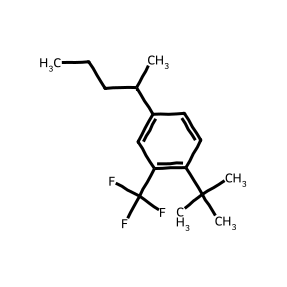 CCC[C](C)c1ccc(C(C)(C)C)c(C(F)(F)F)c1